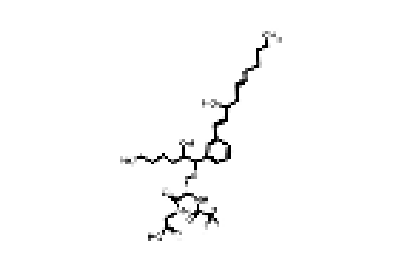 CCCCCC=CCC(O)C=Cc1cccc(C(SC[C@H](NC(=O)C(F)(F)F)C(=O)NCC(=O)O)C(O)CCCCO)c1